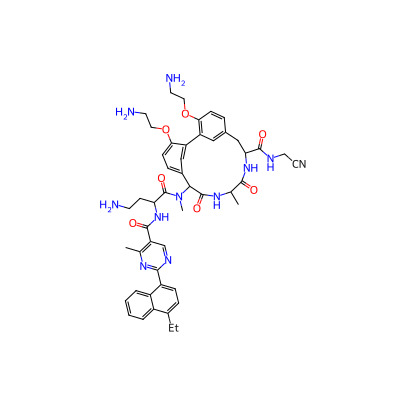 CCc1ccc(-c2ncc(C(=O)NC(CCN)C(=O)N(C)C3C(=O)NC(C)C(=O)NC(C(=O)NCC#N)Cc4ccc(OCCN)c(c4)-c4cc3ccc4OCCN)c(C)n2)c2ccccc12